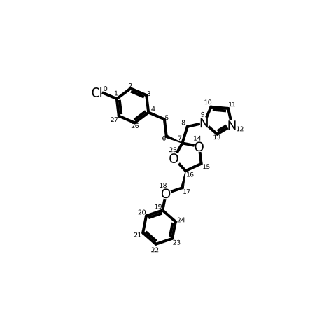 Clc1ccc(CC[C@@]2(Cn3ccnc3)OC[C@@H](COc3ccccc3)O2)cc1